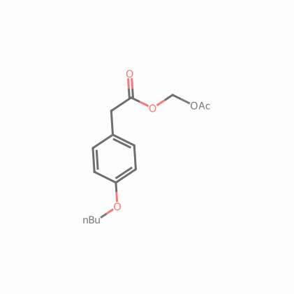 CCCCOc1ccc(CC(=O)OCOC(C)=O)cc1